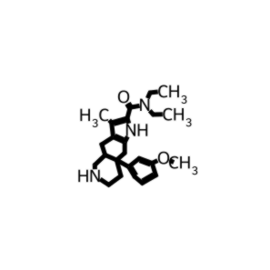 CCN(CC)C(=O)c1[nH]c2c(c1C)CC1CNCCC1(c1cccc(OC)c1)C2